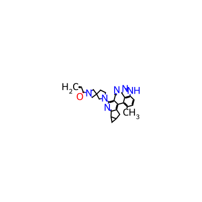 C=CC(=O)N1CC2(CCN(c3nc4c(c(-c5c(C)ccc6[nH]ncc56)c3C#N)CC3CC43)C2)C1